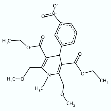 CCOC(=O)C1=C(COC)N(C)C(COC)=C(C(=O)OCC)C1c1cccc([N+](=O)[O-])c1